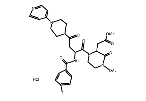 COC(=O)C[C@H]1C(=O)N(OC(C)=O)CCN1C(=O)C(CC(=O)N1CCN(c2ccncc2)CC1)NC(=O)c1ccc(F)cc1.Cl